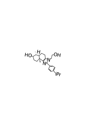 CC(C)c1ccc(-c2nc3c(n2CCO)CC[C@@H]2[C@@H](C)C(O)CC[C@@]32C)cc1